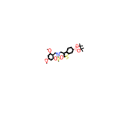 COc1ccc(CN(Cc2csc3cc(B4OC(C)(C)C(C)(C)O4)ccc23)S(C)(=O)=O)c(OC)c1